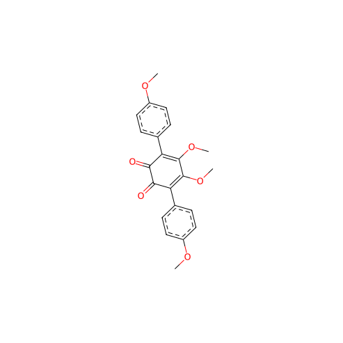 COC1=C(c2ccc(OC)cc2)C(=O)C(=O)C(c2ccc(OC)cc2)=C1OC